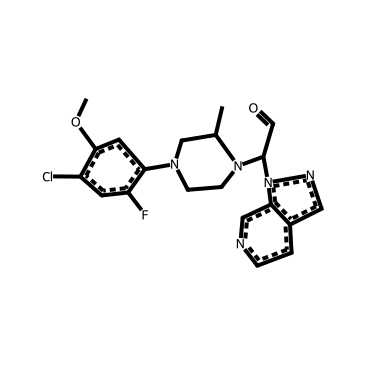 COc1cc(N2CCN(C(C=O)n3ncc4ccncc43)C(C)C2)c(F)cc1Cl